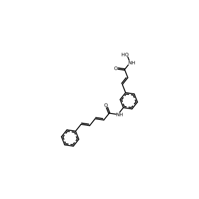 O=C(C=Cc1cccc(NC(=O)C=CC=Cc2ccccc2)c1)NO